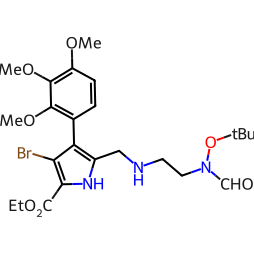 CCOC(=O)c1[nH]c(CNCCN(C=O)OC(C)(C)C)c(-c2ccc(OC)c(OC)c2OC)c1Br